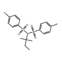 CCC(C)(C)N(S(=O)(=O)c1ccc(F)cc1)S(=O)(=O)c1ccc(F)cc1